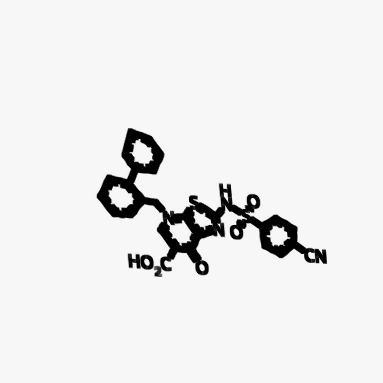 N#Cc1ccc(S(=O)(=O)Nc2nc3c(=O)c(C(=O)O)cn(Cc4ccccc4-c4ccccc4)c3s2)cc1